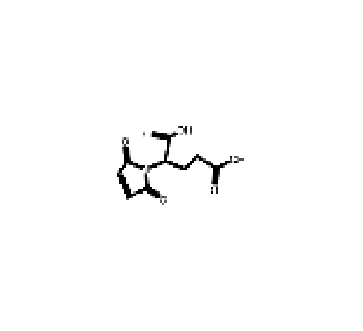 O=C(O)CCC(C(=O)O)N1C(=O)C=CC1=O